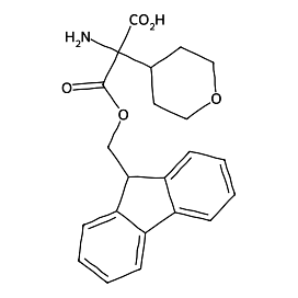 NC(C(=O)O)(C(=O)OCC1c2ccccc2-c2ccccc21)C1CCOCC1